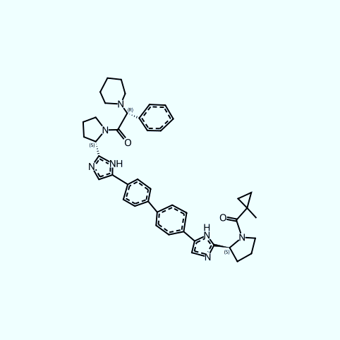 CC1(C(=O)N2CCC[C@H]2c2ncc(-c3ccc(-c4ccc(-c5cnc([C@@H]6CCCN6C(=O)[C@@H](c6ccccc6)N6CCCCC6)[nH]5)cc4)cc3)[nH]2)CC1